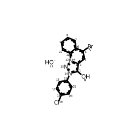 Oc1c2cc(Br)c3ccccc3[n+]2nn1-c1ccc(Cl)cc1.[OH-]